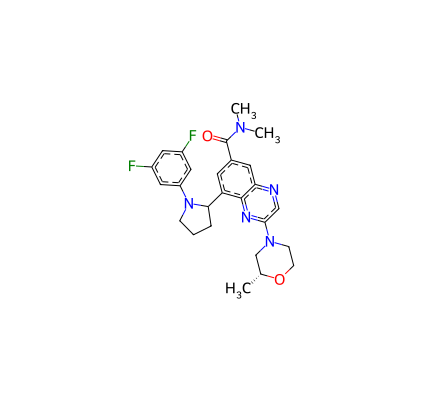 C[C@@H]1CN(c2cnc3cc(C(=O)N(C)C)cc(C4CCCN4c4cc(F)cc(F)c4)c3n2)CCO1